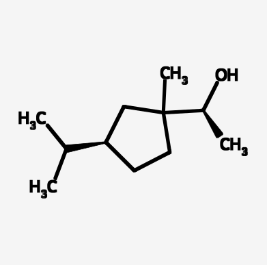 CC(C)[C@@H]1CCC(C)([C@H](C)O)C1